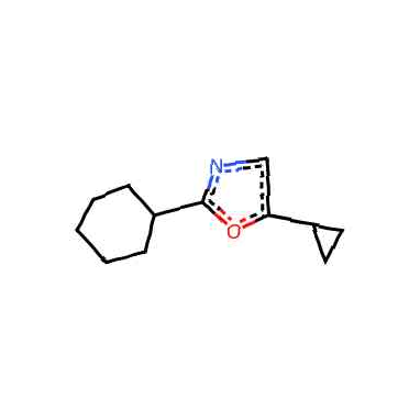 c1nc(C2CCCCC2)oc1C1CC1